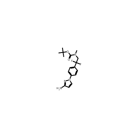 CN(CC(F)(F)c1ccc(-n2ccc(N)n2)cc1)C(=O)OC(C)(C)C